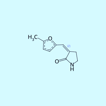 Cc1ccc(/C=C2/CCNC2=O)o1